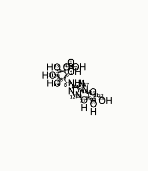 O=P(O)(O)Oc1cc(CNc2ncnc3c2ncn3[C@@H]2O[C@H](CO)[C@@H](O)[C@H]2O)c(O)c(O)c1O